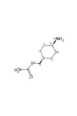 NC(=O)OC[C@H]1CC[C@@H](N)CC1